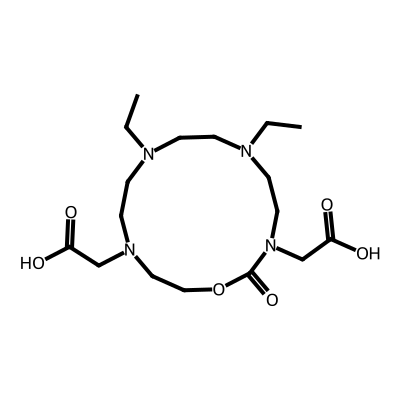 CCN1CCN(CC)CCN(CC(=O)O)C(=O)OCCN(CC(=O)O)CC1